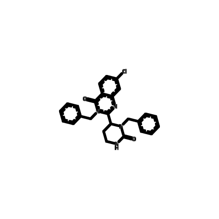 O=C1NCCC(c2nc3cc(Cl)ccc3c(=O)n2Cc2ccccc2)N1Cc1ccccc1